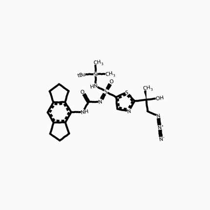 CC(C)(C)[Si](C)(C)NS(=O)(=NC(=O)Nc1c2c(cc3c1CCC3)CCC2)c1cnc([C@](C)(O)CN=[N+]=[N-])s1